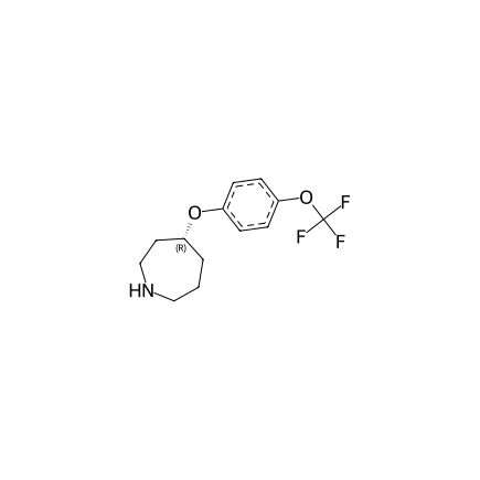 FC(F)(F)Oc1ccc(O[C@@H]2CCCNCC2)cc1